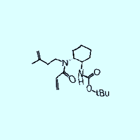 C=CC(=O)N(CCC(=C)C)[C@@H]1CCCC[C@H]1NC(=O)OC(C)(C)C